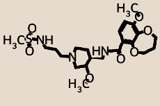 COc1ccc(C(=O)NC[C@@H]2CCN(CCCNS(C)(=O)=O)CC2OC)c2c1OCCCO2